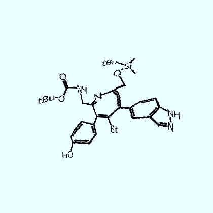 CCc1c(-c2ccc(O)cc2)c(CNC(=O)OC(C)(C)C)nc(CO[Si](C)(C)C(C)(C)C)c1-c1ccc2[nH]ncc2c1